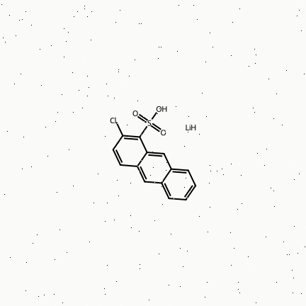 O=S(=O)(O)c1c(Cl)ccc2cc3ccccc3cc12.[LiH]